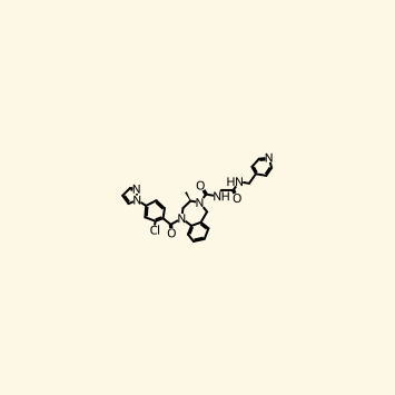 C[C@@H]1CN(C(=O)c2ccc(-n3cccn3)cc2Cl)c2ccccc2CN1C(=O)NCC(=O)NCc1ccncc1